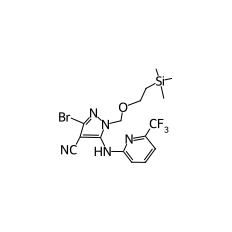 C[Si](C)(C)CCOCn1nc(Br)c(C#N)c1Nc1cccc(C(F)(F)F)n1